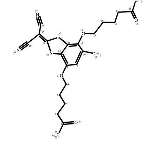 CC(=O)CCCCOc1cc(C)c(OCCCCC(C)=O)c2c1SC(=C(C#N)C#N)S2